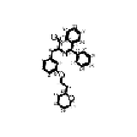 O=C(O)C(Cc1cccc(OCCC2CCCCO2)c1)N=C(c1ccccc1)c1ccccc1